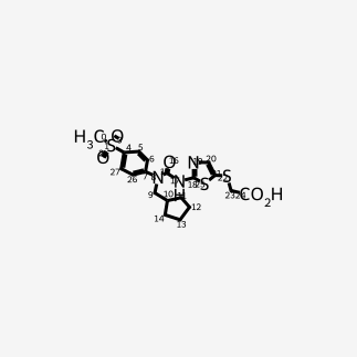 CS(=O)(=O)c1ccc(N(CC2CCCC2)C(=O)Nc2ncc(SCC(=O)O)s2)cc1